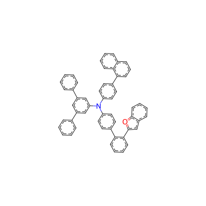 c1ccc(-c2cc(-c3ccccc3)cc(N(c3ccc(-c4ccccc4-c4cc5ccccc5o4)cc3)c3ccc(-c4cccc5ccccc45)cc3)c2)cc1